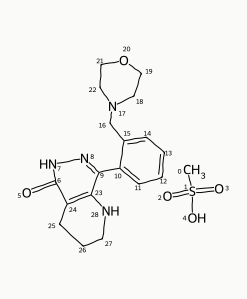 CS(=O)(=O)O.O=c1[nH]nc(-c2ccccc2CN2CCOCC2)c2c1CCCN2